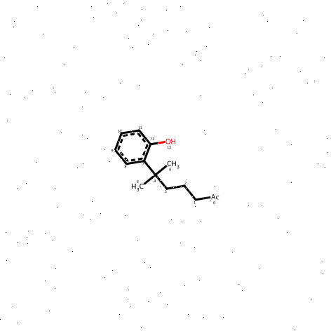 CC(=O)CCCC(C)(C)c1ccccc1O